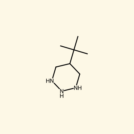 CC(C)(C)C1CNNNC1